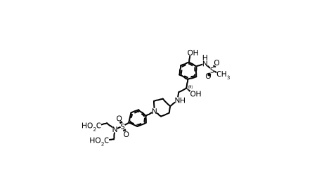 CS(=O)(=O)Nc1cc([C@@H](O)CNC2CCN(c3ccc(S(=O)(=O)N(CC(=O)O)CC(=O)O)cc3)CC2)ccc1O